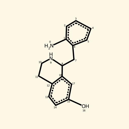 Nc1ccccc1CC1NCCc2ccc(O)cc21